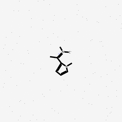 [CH2-]/[N+](C)=C(/C)c1cccn1C